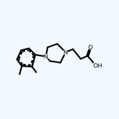 Cc1cccc(N2CCN(CCC(=O)O)CC2)c1C